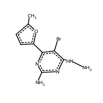 Cc1ccc(-c2nc(N)nc(NN)c2Br)o1